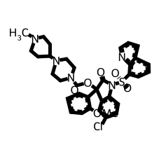 COc1ccccc1C1(OC(=O)N2CCN(C3CCN(C)CC3)CC2)C(=O)N(S(=O)(=O)c2cccc3cccnc23)c2ccc(Cl)cc21